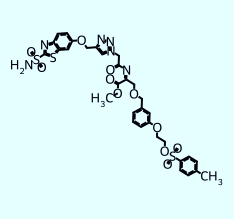 COC(=O)/C(COCc1cccc(OCCOS(=O)(=O)c2ccc(C)cc2)c1)=N\C(=O)Cn1cc(COc2ccc3nc(S(N)(=O)=O)sc3c2)nn1